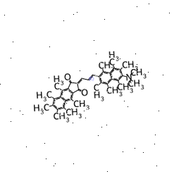 Cc1c(N(C)C)c(C)c2c(C)c(C)c(/C=C/C=C3C(=O)c4c(c(C)c5c(C)c(C)c(C)c(C)c5c4C)C3=O)c(C)c2c1C